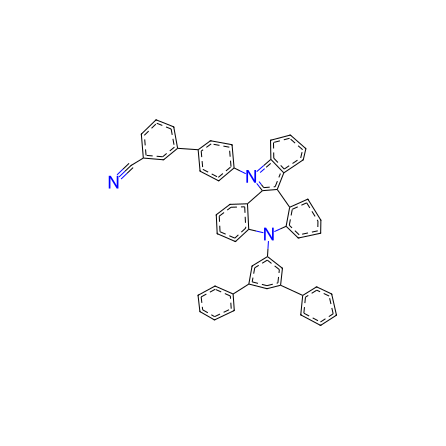 N#Cc1cccc(-c2ccc(-n3c4c(c5ccccc53)-c3ccccc3N(c3cc(-c5ccccc5)cc(-c5ccccc5)c3)c3ccccc3-4)cc2)c1